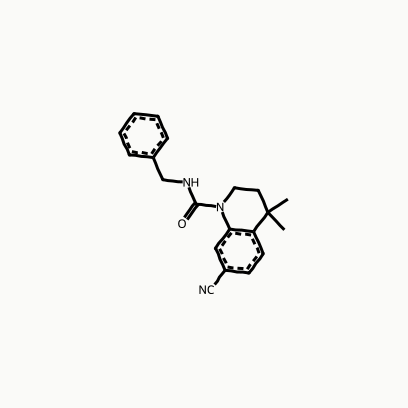 CC1(C)CCN(C(=O)NCc2ccccc2)c2cc(C#N)ccc21